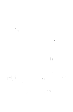 CN(CC(N)=O)C(=O)n1cnc(-c2cccnc2)c1